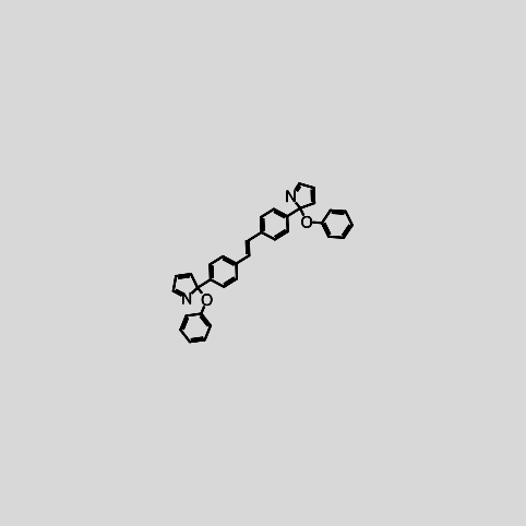 C1=CC(Oc2ccccc2)(c2ccc(C=Cc3ccc(C4(Oc5ccccc5)C=CC=N4)cc3)cc2)N=C1